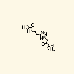 NNC(=O)Cn1nnc(CCNC(=O)O)n1